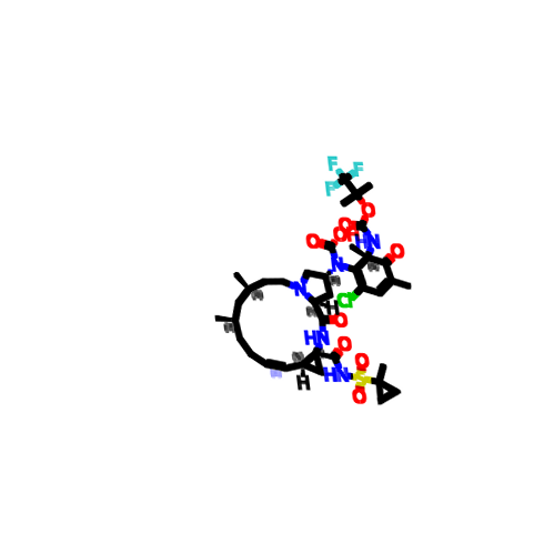 CC1=CC(Cl)=C(N(C(=O)O)[C@@H]2C[C@H]3C(=O)N[C@]4(C(=O)NS(=O)(=O)C5(C)CC5)C[C@H]4/C=C\CC[C@@H](C)C[C@@H](C)CCN3C2)[C@](C)(NC(=O)OC(C)(C)C(F)(F)F)C1=O